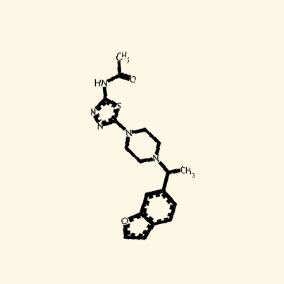 CC(=O)Nc1nnc(N2CCN(C(C)c3ccc4ccoc4c3)CC2)s1